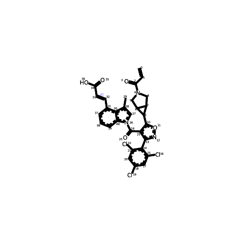 C=CC(=O)N1CC2C(C1)C2c1onc(-c2c(Cl)cc(Cl)cc2Cl)c1C(=O)n1cc(C)c2c(/C=C/C(=O)O)cccc21